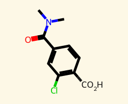 CN(C)C(=O)c1ccc(C(=O)O)c(Cl)c1